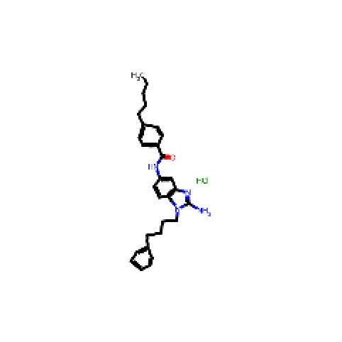 CCCCCc1ccc(C(=O)Nc2ccc3c(c2)nc(N)n3CCCCc2ccccc2)cc1.Cl